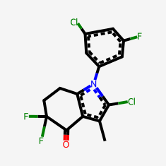 Cc1c2c(n(-c3cc(F)cc(Cl)c3)c1Cl)CCC(F)(F)C2=O